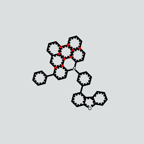 c1ccc(-c2ccc(N(c3cccc(-c4cccc5oc6ccccc6c45)c3)c3ccccc3-c3cccc4cccc(-c5ccccc5)c34)c(-c3ccccc3)c2)cc1